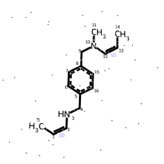 C/C=C\NCc1ccc(CN(C)/C=C\C)cc1